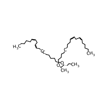 CCCCC/C=C\C/C=C\CCCCCCCCC1(CCCCCCCC/C=C\C/C=C\CCCCC)O[C@@H](C)[C@@H](CCC)O1